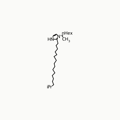 CCCCCCC(C)[n+]1cc[nH]c1CCCCCCCCCCCCCCCC(C)C